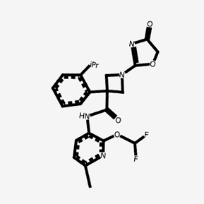 Cc1ccc(NC(=O)C2(c3ccccc3C(C)C)CN(C3=NC(=O)CO3)C2)c(OC(F)F)n1